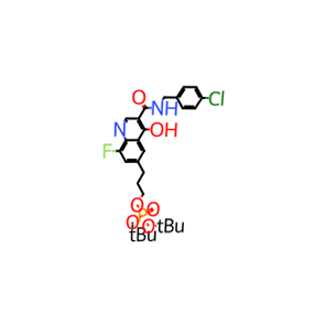 CC(C)(C)OP(=O)(OCCCc1cc(F)c2ncc(C(=O)NCc3ccc(Cl)cc3)c(O)c2c1)OC(C)(C)C